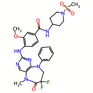 COc1cc(C(=O)NC2CCN(S(C)(=O)=O)CC2)ccc1Nc1ncc2c(n1)N(c1ccccc1)CC(F)(F)C(=O)N2C